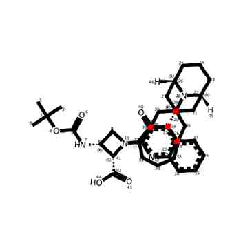 CC(C)(C)OC(=O)N[C@@H]1CN(c2nc3ccccc3n([C@H]3C[C@H]4CCC[C@@H](C3)N4C3CC4CCCCC(C4)C3)c2=O)[C@@H]1C(=O)O